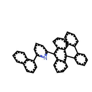 c1ccc(-c2ccccc2-c2c3ccccc3c(-c3cccc(-c4cccc5ccccc45)n3)c3ccccc23)cc1